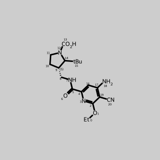 CCOc1nc(C(=O)NC[C@@H]2CCN(C(=O)O)C2C(C)(C)C)cc(N)c1C#N